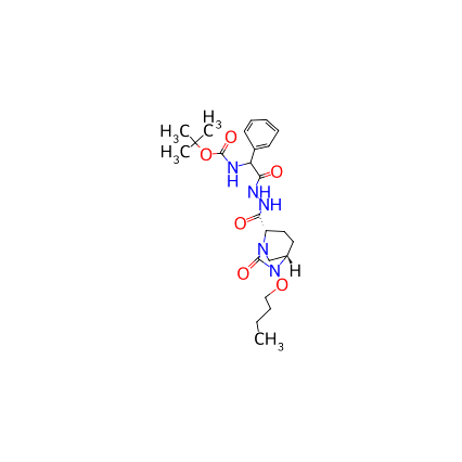 CCCCON1C(=O)N2C[C@@H]1CC[C@H]2C(=O)NNC(=O)C(NC(=O)OC(C)(C)C)c1ccccc1